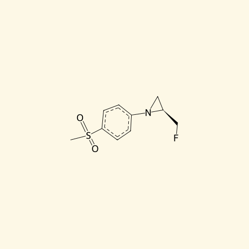 CS(=O)(=O)c1ccc(N2C[C@H]2CF)cc1